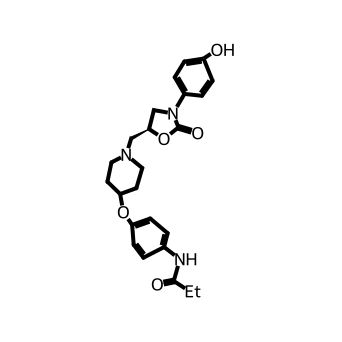 CCC(=O)Nc1ccc(OC2CCN(C[C@H]3CN(c4ccc(O)cc4)C(=O)O3)CC2)cc1